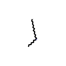 [CH2]CCCCCCCCCCC/C=C\CCCCCC